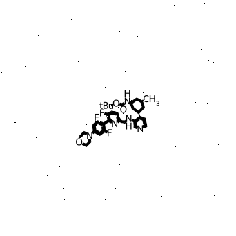 C[C@@H]1C[C@H](NC(=O)OC(C)(C)C)C[C@H](c2ccncc2NCc2ccc(F)c(-c3c(F)cc(N4CCOCC4)cc3F)n2)C1